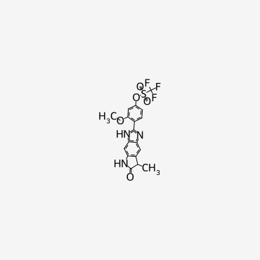 COc1cc(OS(=O)(=O)C(F)(F)F)ccc1-c1nc2cc3c(cc2[nH]1)NC(=O)C3C